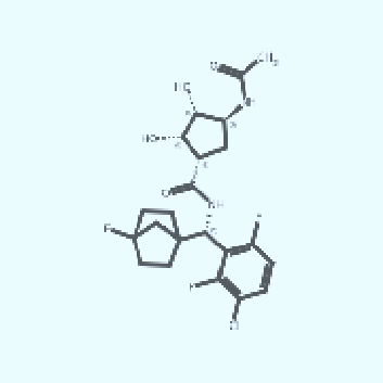 CC(=O)N[C@H]1C[C@H](C(=O)N[C@H](c2c(F)ccc(Cl)c2F)C23CCC(F)(CC2)C3)[C@H](O)[C@@H]1O